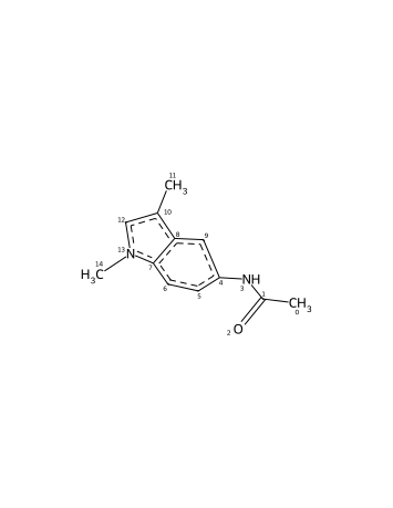 CC(=O)Nc1ccc2c(c1)c(C)cn2C